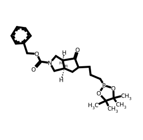 CC1(C)OB(CCCC2C[C@H]3CN(C(=O)OCc4ccccc4)C[C@H]3C2=O)OC1(C)C